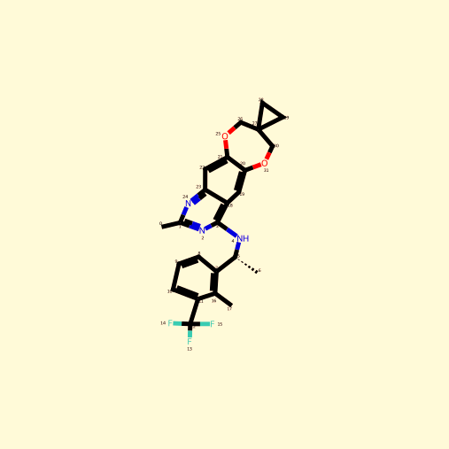 Cc1nc(N[C@H](C)c2cccc(C(F)(F)F)c2C)c2cc3c(cc2n1)OCC1(CC1)CO3